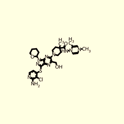 CC1=CN(C)C=CN1NC(=O)C1(C)CCN(c2nc3c(nc2CO)c(Sc2ccnc(N)c2Cl)nn3C2CCCCO2)CC1